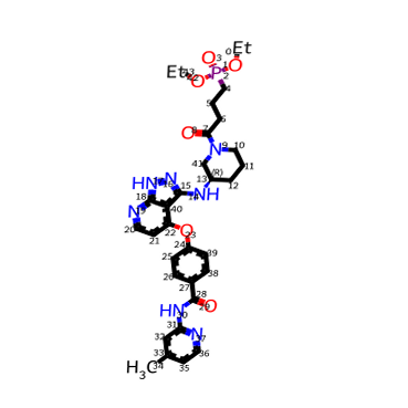 CCOP(=O)(CCCC(=O)N1CCC[C@@H](Nc2n[nH]c3nccc(Oc4ccc(C(=O)Nc5cc(C)ccn5)cc4)c23)C1)OCC